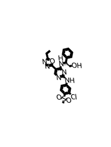 CCc1nnc(-c2cnc(Nc3ccc(S(C)(=O)=O)c(Cl)c3)nc2N[C@H](CO)c2ccccc2)o1